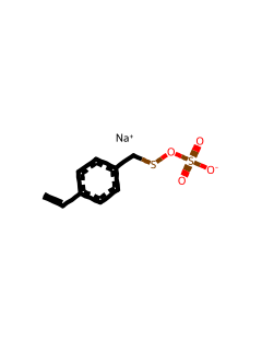 C=Cc1ccc(CSOS(=O)(=O)[O-])cc1.[Na+]